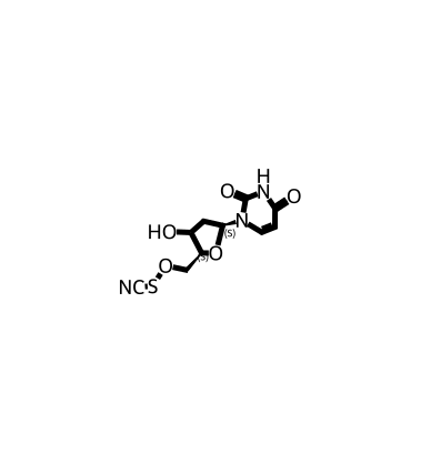 N#CSOC[C@@H]1O[C@H](n2ccc(=O)[nH]c2=O)CC1O